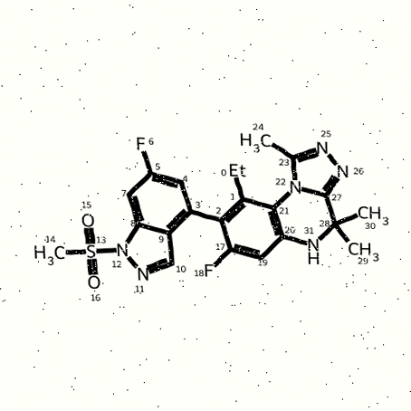 CCc1c(-c2cc(F)cc3c2cnn3S(C)(=O)=O)c(F)cc2c1-n1c(C)nnc1C(C)(C)N2